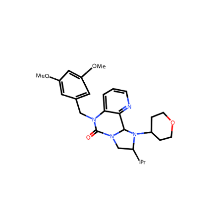 COc1cc(CN2C(=O)N3CC(C(C)C)N(C4CCOCC4)C3c3ncccc32)cc(OC)c1